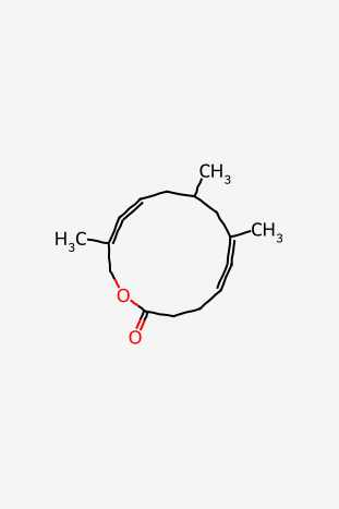 CC1=C=CCC(C)CC(C)=C=CCCC(=O)OC1